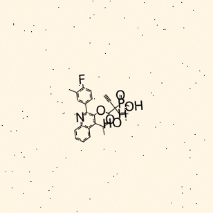 C#CC(C(=O)Oc1c(-c2ccc(F)c(C)c2)nc2ccccc2c1C(C)C)(C(C)O)[PH](=O)O